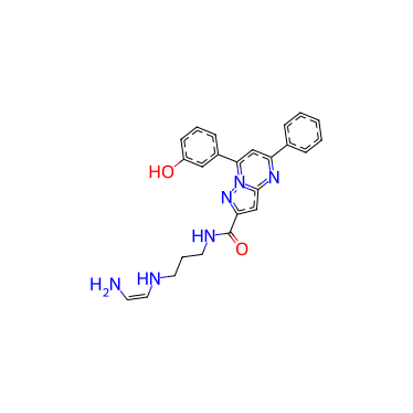 N/C=C\NCCCNC(=O)c1cc2nc(-c3ccccc3)cc(-c3cccc(O)c3)n2n1